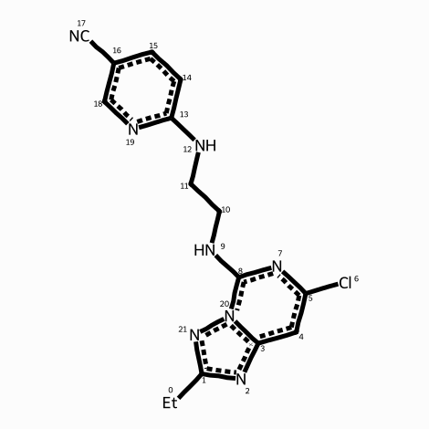 CCc1nc2cc(Cl)nc(NCCNc3ccc(C#N)cn3)n2n1